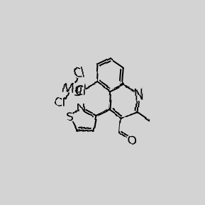 Cc1nc2cccc(Cl)c2c(-c2ccsn2)c1C=O.[Cl][Mg][Cl]